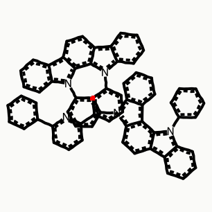 c1ccc(-c2cccc(-c3cccc(-n4c5ccccc5c5ccc6c7ccccc7n(-c7cccc(-n8c9ccccc9c9c8ccc8c%10ccccc%10n(-c%10ccccc%10)c89)c7)c6c54)c3)n2)cc1